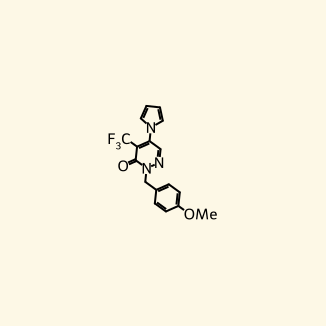 COc1ccc(Cn2ncc(-n3cccc3)c(C(F)(F)F)c2=O)cc1